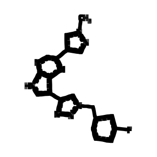 Cn1cc(-c2cnc3[nH]cc(-c4cn(Cc5cccc(F)c5)nn4)c3n2)cn1